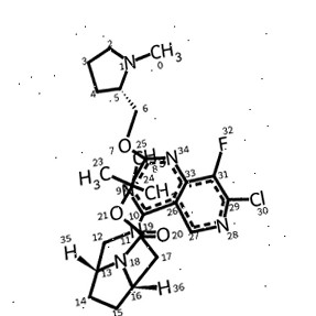 CN1CCC[C@H]1COc1nc(N2C[C@H]3CC[C@@H](C2)N3C(=O)OC(C)(C)C)c2cnc(Cl)c(F)c2n1